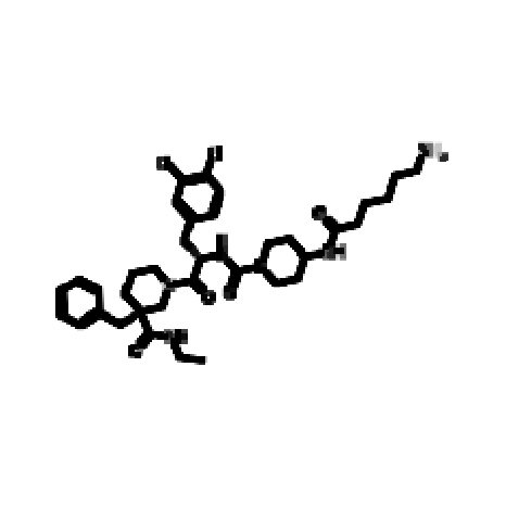 CCNC(=O)[C@]1(Cc2ccccc2)CCCN(C(=O)[C@@H](Cc2ccc(Cl)c(Cl)c2)NC(=O)N2CCC(NC(=O)CCCCCN)CC2)C1